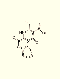 CCc1[nH]c2c(=O)oc3ccccc3c2c(=O)c1C(=O)O